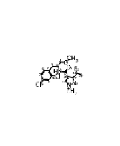 COC[C@H](Cc1ccc(Cl)cc1Cl)NC(=O)c1cn(C)nc1C(F)F